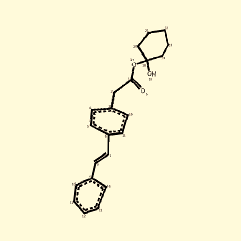 O=C(Cc1ccc(C=Cc2ccccc2)cc1)OC1(O)CCCCC1